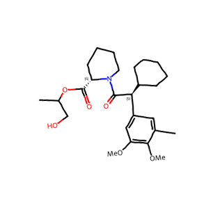 COc1cc([C@@H](C(=O)N2CCCC[C@H]2C(=O)OC(C)CO)C2CCCCC2)cc(C)c1OC